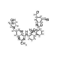 Cc1nc(Nc2cccc(-c3cccc(-c4nc5cc(C=O)cc(C#N)c5o4)c3C)c2C)c2ncc(CN3CC[C@]4(O)CC34)cc2n1